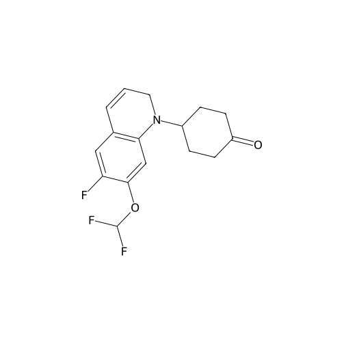 O=C1CCC(N2CC=Cc3cc(F)c(OC(F)F)cc32)CC1